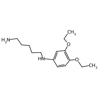 CCOc1ccc(NCCCCCN)cc1OCC